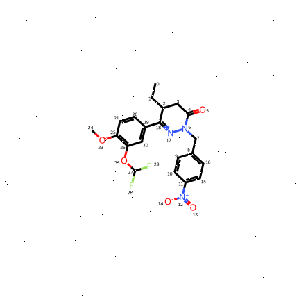 CCC1CC(=O)N(Cc2ccc([N+](=O)[O-])cc2)N=C1c1ccc(OC)c(OC(F)F)c1